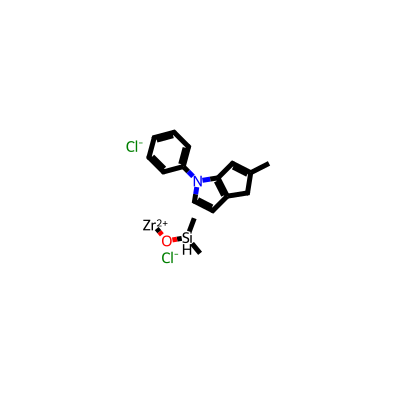 CC1=Cc2c(ccn2-c2ccccc2)C1.C[SiH](C)[O][Zr+2].[Cl-].[Cl-]